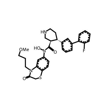 COCCCN1C(=O)CSc2ccc(N(O)C(=O)[C@H]3CNCC[C@@H]3c3cccc(-c4ccccc4F)c3)cc21